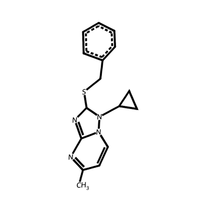 CC1=NC2=NC(SCc3ccccc3)N(C3CC3)N2C=C1